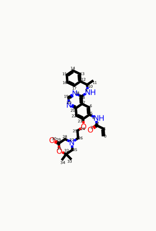 C=CC(=O)Nc1cc2c(NC(C)c3ccccc3)ncnc2cc1OCCN1CC(=O)OC(C)(C)C1